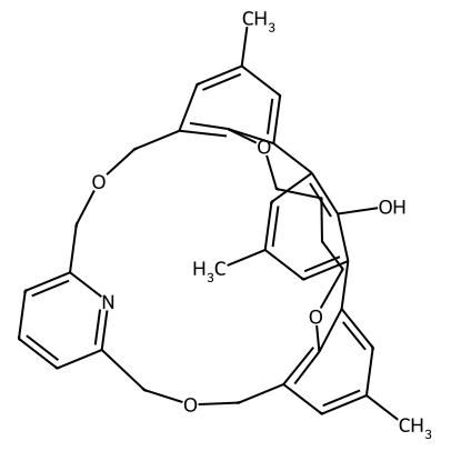 Cc1cc2c(O)c(c1)-c1cc(C)cc3c1OCCCCOc1c(cc(C)cc1-2)COCc1cccc(n1)COC3